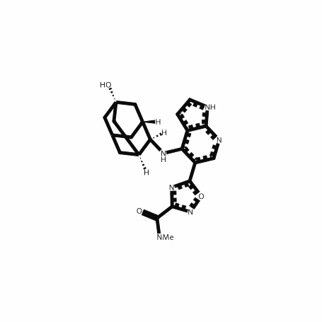 CNC(=O)c1noc(-c2cnc3[nH]ccc3c2N[C@@H]2[C@@H]3CC4C[C@H]2C[C@@](O)(C4)C3)n1